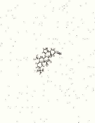 CN(C)C=Nc1c(-c2ccnn2-c2ccc(C#N)cc2)c(=O)n(C)c(=O)n1-c1cccc(C(F)(F)F)c1